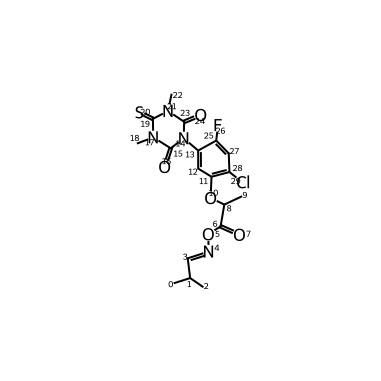 CC(C)C=NOC(=O)C(C)Oc1cc(-n2c(=O)n(C)c(=S)n(C)c2=O)c(F)cc1Cl